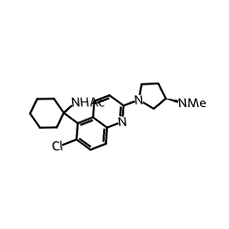 CN[C@@H]1CCN(c2ccc3c(C4(NC(C)=O)CCCCC4)c(Cl)ccc3n2)C1